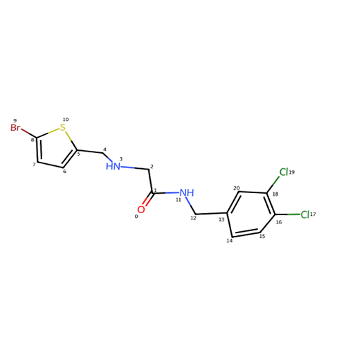 O=C(CNCc1ccc(Br)s1)NCc1ccc(Cl)c(Cl)c1